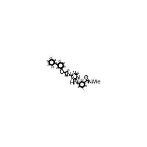 CNC(=O)c1cccc(Nc2ncnc(N3CC(Oc4cccc(-c5ccccc5)c4)C3)n2)c1